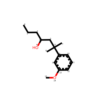 CCCC(O)CC(C)(C)c1cccc(OC)c1